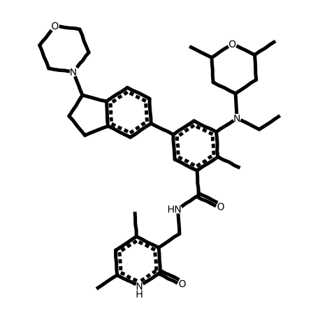 CCN(c1cc(-c2ccc3c(c2)CCC3N2CCOCC2)cc(C(=O)NCc2c(C)cc(C)[nH]c2=O)c1C)C1CC(C)OC(C)C1